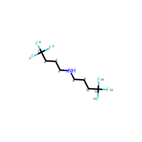 FC(F)(F)CCCNCCCC(F)(F)F